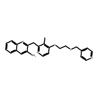 Cc1c(SCCSCc2ccncc2)ccnc1Cc1nc2ccccc2cc1N